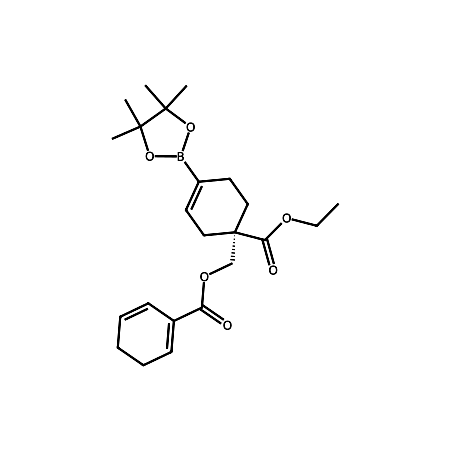 CCOC(=O)[C@@]1(COC(=O)C2=CCCC=C2)CC=C(B2OC(C)(C)C(C)(C)O2)CC1